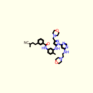 Cc1ccc(NC(=O)c2cccc(CCC(C)C#N)c2)cc1Nc1cc(CN2CCOCC2)nn1-c1cc(NCCN2CCOCC2)ncn1